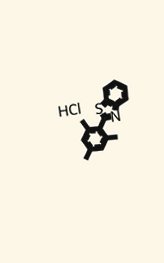 Cc1cc(C)c(-c2nc3ccccc3s2)c(C)c1.Cl